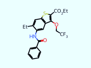 CCOC(=O)c1sc2cc(CC)c(NC(=O)c3ccccc3)cc2c1OCC(F)(F)F